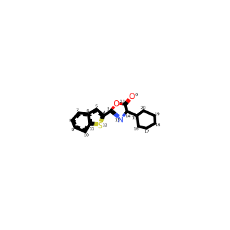 O=C1OC(c2cc3ccccc3s2)=NC1C1CCCCC1